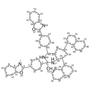 CC1(c2ccc(-c3nc4ccccc4o3)cc2)Nc2c(-c3cccc4ccccc34)cc(-c3cccc4ccccc34)cc2C(c2ccc(-c3nc4ccccc4o3)cc2)N1